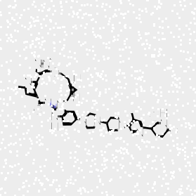 Cc1cc2cc(n1)-c1cnn(C)c1OCC[C@H]1C[C@@H]1CN1/C(=N/C2=O)Nc2ccc(N3CCN(C4CCN(c5cnc(C6CCC(=O)NC6=O)cc5C)CC4)CC3)cc21